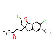 CC(=O)CCC1(CCF)Cc2cc(C)c(Cl)cc2C1=O